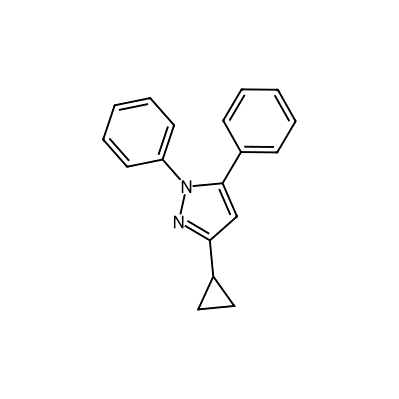 c1ccc(-c2cc(C3CC3)nn2-c2ccccc2)cc1